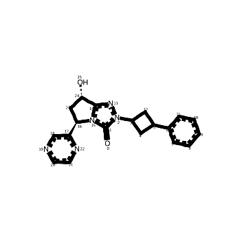 O=c1n(C2CC(c3ccccc3)C2)nc2n1[C@@H](c1cnccn1)C[C@@H]2O